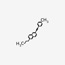 CCCCc1ccc2cc(C#Cc3ccc(C)cc3)ccc2c1